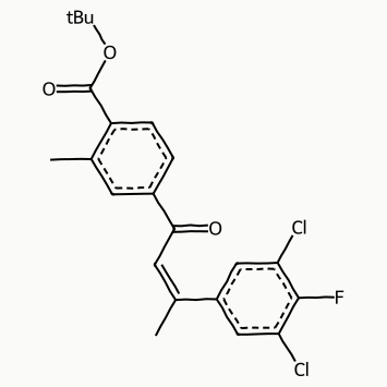 C/C(=C/C(=O)c1ccc(C(=O)OC(C)(C)C)c(C)c1)c1cc(Cl)c(F)c(Cl)c1